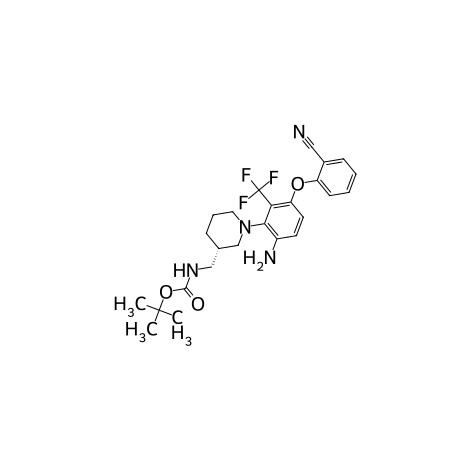 CC(C)(C)OC(=O)NC[C@@H]1CCCN(c2c(N)ccc(Oc3ccccc3C#N)c2C(F)(F)F)C1